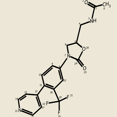 CC(=O)NCC1CN(c2ccc(-c3ccncc3)c(C(F)(F)F)c2)C(=O)O1